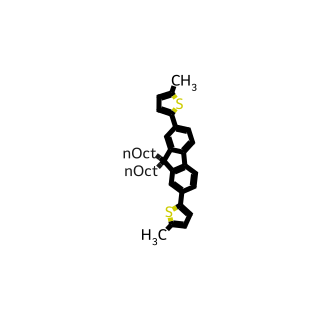 CCCCCCCCC1(CCCCCCCC)c2cc(-c3ccc(C)s3)ccc2-c2ccc(-c3ccc(C)s3)cc21